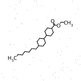 CCCCCCCC1CCC(C2CCC(C(=O)OCC)CC2)CC1